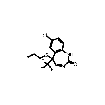 CCCSC1(C(F)(F)F)C=NC(=O)Nc2ccc(Cl)cc21